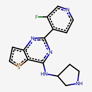 Fc1cnccc1-c1nc(NC2CCNC2)c2sccc2n1